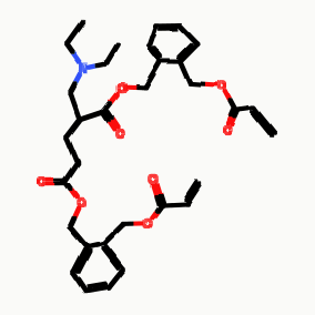 C=CC(=O)OCc1ccccc1COC(=O)CCC(CN(CC)CC)C(=O)OCc1ccccc1COC(=O)C=C